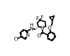 O=C(c1ccccc1OCC1CC1)N1CCC(F)(F)C[C@H]1CNc1ccc(Cl)cn1